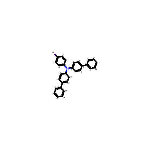 Ic1ccc(N(c2ccc(-c3ccccc3)cc2)C2C=CC(c3ccccc3)=CC2)cc1